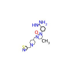 CC1CN(CC2CCN(Cc3cnsc3)CC2)C(=O)N(c2cccc(C(=N)N)c2)C1